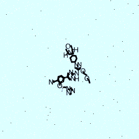 CCOCCOc1nn([C@H]2CC[C@H](N3[C@@H]4CC[C@H]3COC4)CC2)cc1Nc1ncc(-c2ccc(C#N)c(O[C@@H](C)Cn3cncn3)c2)cn1